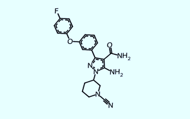 N#CN1CCCC(n2nc(-c3cccc(Oc4ccc(F)cc4)c3)c(C(N)=O)c2N)C1